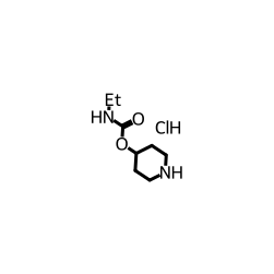 CCNC(=O)OC1CCNCC1.Cl